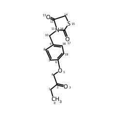 CCC(=O)COc1ccc(CN2C(=O)CSC2=O)cc1